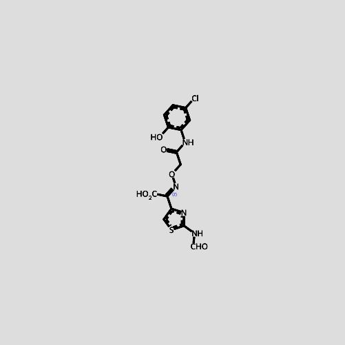 O=CNc1nc(/C(=N/OCC(=O)Nc2cc(Cl)ccc2O)C(=O)O)cs1